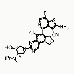 CC(C)N(C)[C@H]1CN(c2ncc3c4c(c(-c5ncc(F)c6sc(N)c(C#N)c56)c(Cl)c3n2)COC4)C[C@@H]1O